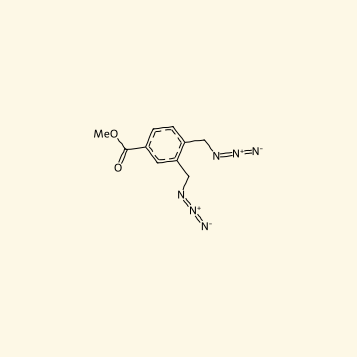 COC(=O)c1ccc(CN=[N+]=[N-])c(CN=[N+]=[N-])c1